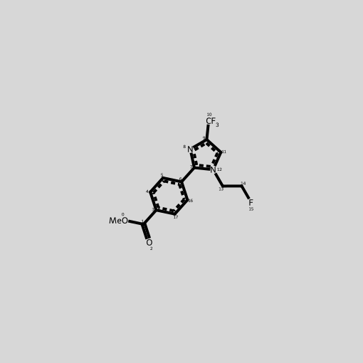 COC(=O)c1ccc(-c2nc(C(F)(F)F)cn2CCF)cc1